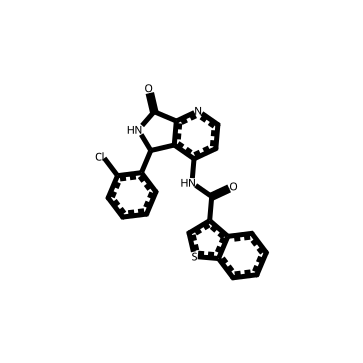 O=C1NC(c2ccccc2Cl)c2c(NC(=O)c3csc4ccccc34)ccnc21